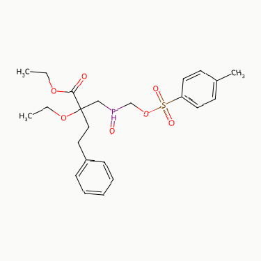 CCOC(=O)C(CCc1ccccc1)(C[PH](=O)COS(=O)(=O)c1ccc(C)cc1)OCC